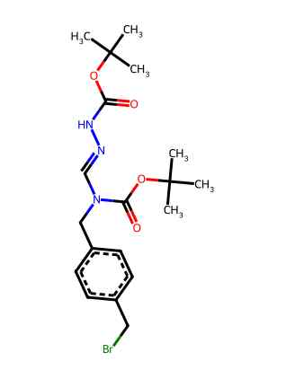 CC(C)(C)OC(=O)NN=CN(Cc1ccc(CBr)cc1)C(=O)OC(C)(C)C